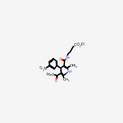 CCOC(=O)CCCNC(=O)C1=C(C)NC(C)=C(C(=O)OC)C1c1cccc([N+](=O)[O-])c1